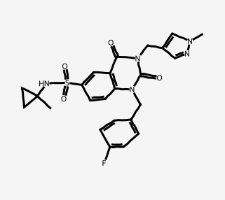 Cn1cc(Cn2c(=O)c3cc(S(=O)(=O)NC4(C)CC4)ccc3n(Cc3ccc(F)cc3)c2=O)cn1